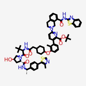 Cc1ncsc1-c1ccc([C@H](C)NC(=O)[C@@H]2C[C@@H](O)CN2C(=O)C(NC(=O)CC2CCC(Oc3cccc(-c4ccc(N5CCc6cccc(C(=O)Nc7nc8ccccc8s7)c6C5)nc4C(=O)OC(C)(C)C)c3C)CC2)C(C)(C)C)cc1